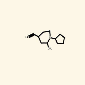 C#CC1CCN(C2CCCC2)C(C)C1